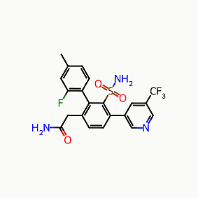 Cc1ccc(-c2c(CC(N)=O)ccc(-c3cncc(C(F)(F)F)c3)c2S(N)(=O)=O)c(F)c1